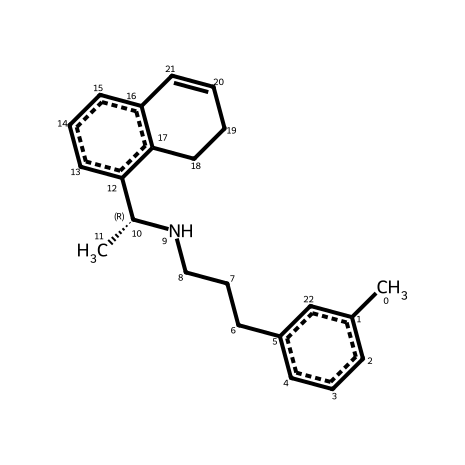 Cc1cccc(CCCN[C@H](C)c2cccc3c2CCC=C3)c1